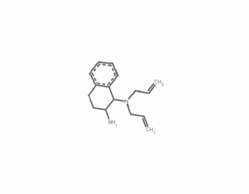 C=CCN(CC=C)C1c2ccccc2CCC1N